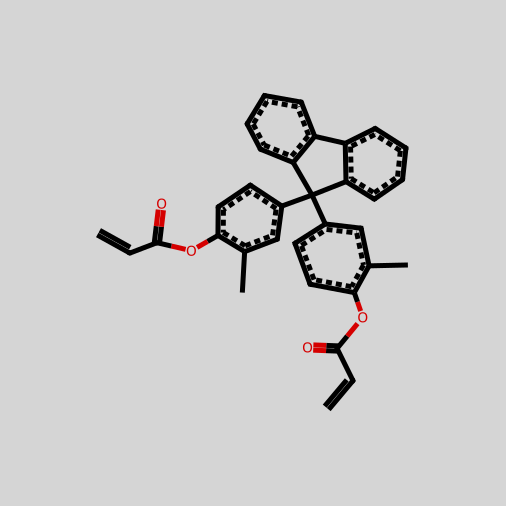 C=CC(=O)Oc1ccc(C2(c3ccc(OC(=O)C=C)c(C)c3)c3ccccc3-c3ccccc32)cc1C